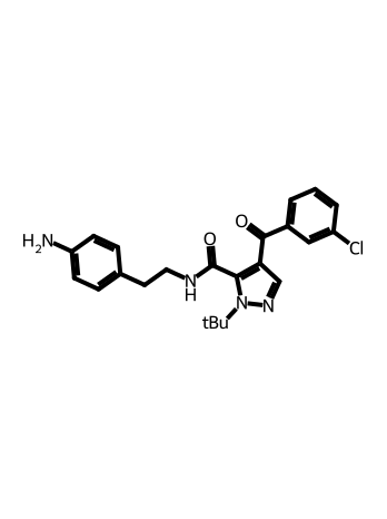 CC(C)(C)n1ncc(C(=O)c2cccc(Cl)c2)c1C(=O)NCCc1ccc(N)cc1